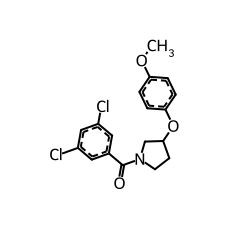 COc1ccc(OC2CCN(C(=O)c3cc(Cl)cc(Cl)c3)C2)cc1